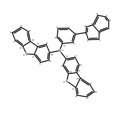 c1cc(-c2ccc3ccccc3c2)cc(N(c2ccc3c(c2)sc2ccccc23)c2ccc3sc4ccccc4c3c2)c1